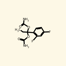 CCC(OC(N)=O)(OC(N)=O)c1ccc(F)cc1F